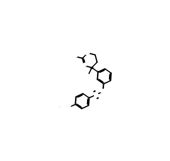 COc1ccc(S(=O)(=O)Nc2cccc(C3(C)CCSC(N)=N3)c2)cc1